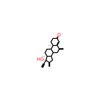 C#C[C@]1(O)C(=C)CC2C3CC(=C)C4=CC(=O)CC[C@]4(C)C3CC[C@@]21C